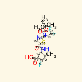 Cc1cc(F)c(C(=O)O)cc1NC(=O)c1cnc(N(CC(F)F)C(=O)OC(C)(C)C)s1